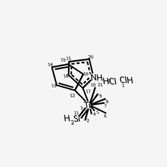 Cl.Cl.[CH3][Ti]([CH3])([CH3])([CH3])([CH3])([CH3])([CH3])([CH3])(=[SiH2])([C]1=CC=CC1)[c]1ccc[nH]1